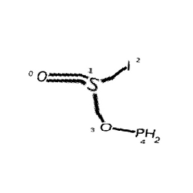 O=S(I)OP